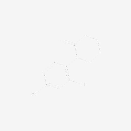 CCC(C)c1ccc(C2CCCCC2=O)c(Cl)c1